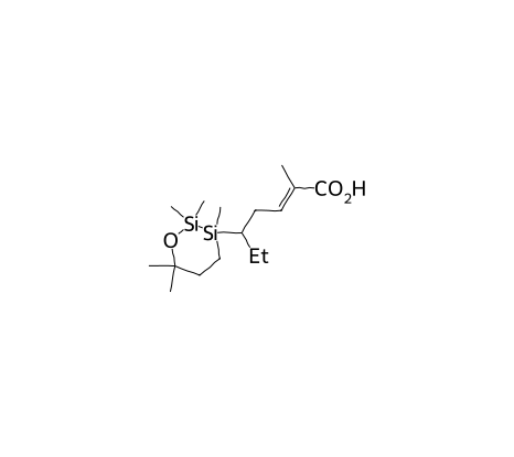 CCC(CC=C(C)C(=O)O)[Si]1(C)CCC(C)(C)O[Si]1(C)C